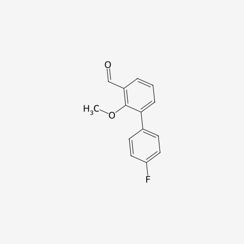 COc1c(C=O)cccc1-c1ccc(F)cc1